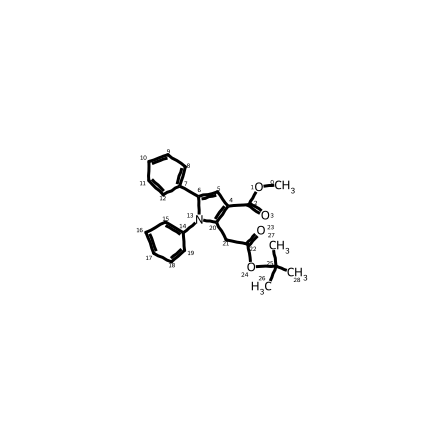 COC(=O)c1cc(-c2ccccc2)n(-c2ccccc2)c1CC(=O)OC(C)(C)C